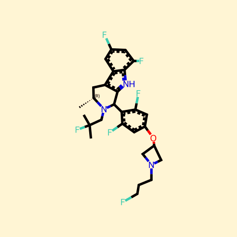 C[C@@H]1Cc2c([nH]c3c(F)cc(F)cc23)C(c2c(F)cc(OC3CN(CCCF)C3)cc2F)N1CC(C)(C)F